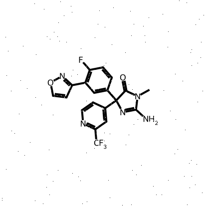 CN1C(=O)C(c2ccnc(C(F)(F)F)c2)(c2ccc(F)c(-c3ccon3)c2)N=C1N